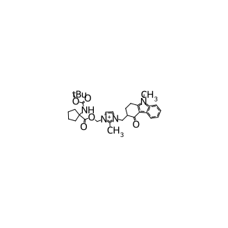 Cc1n(CC2CCc3c(c4ccccc4n3C)C2=O)cc[n+]1COC(=O)C1(NC(=O)OC(C)(C)C)CCCC1